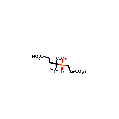 CC(CCC(=O)O)(C(=O)O)P(=O)(O)CCC(=O)O